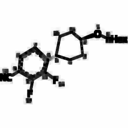 CCCCCCO[C@H]1CC[C@H](c2ccc(C#N)c(F)c2F)CC1